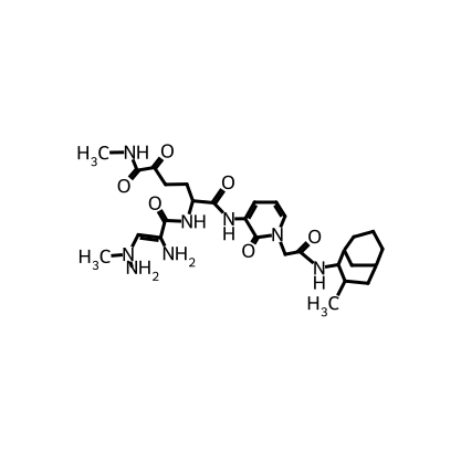 CNC(=O)C(=O)CCC(NC(=O)/C(N)=C/N(C)N)C(=O)Nc1cccn(CC(=O)NC2C(C)CC3CCCC2C3)c1=O